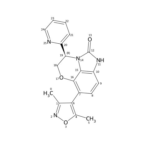 Cc1noc(C)c1-c1ccc2[nH]c(=O)n3c2c1OC[C@H]3c1ccccn1